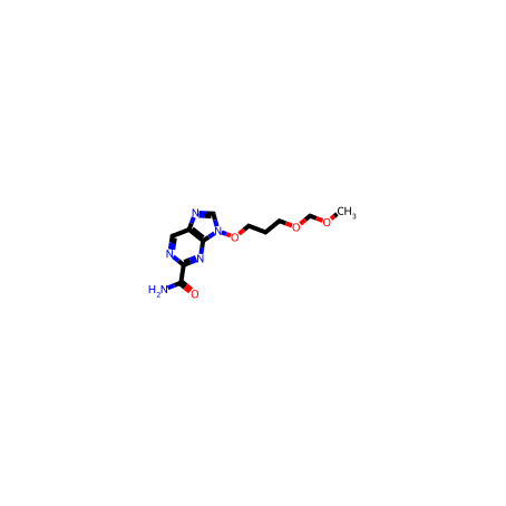 COCOCCCOn1cnc2cnc(C(N)=O)nc21